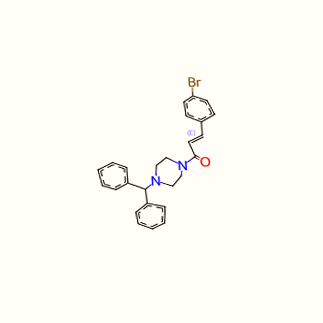 O=C(/C=C/c1ccc(Br)cc1)N1CCN(C(c2ccccc2)c2ccccc2)CC1